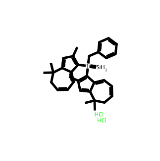 CC1=[C]([Ti](=[SiH2])([CH2]c2ccccc2)[C]2=C(C)C=C3C2=CC=CCC3(C)C)C2=CC=CCC(C)(C)C2=C1.Cl.Cl